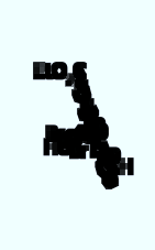 CCOC(=O)CCN1CCC(N2CCN(C(=O)C(Cc3cc(Br)c(O)c(Br)c3)OC(=O)N3CCC(N4CCc5ccccc5NC4=O)CC3)CC2)CC1